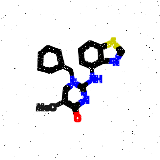 COc1cn(Cc2ccccc2)c(Nc2cccc3scnc23)nc1=O